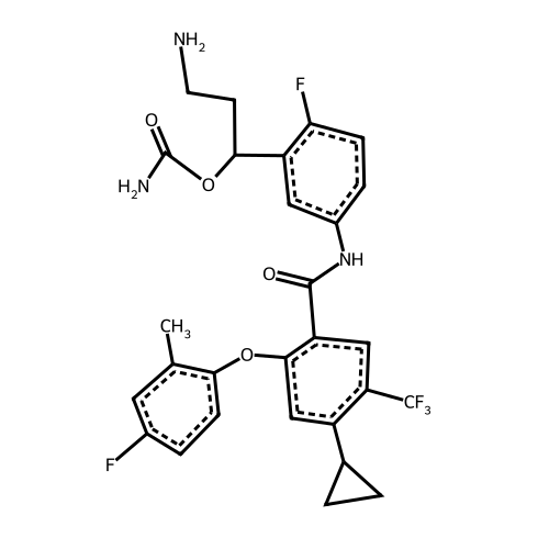 Cc1cc(F)ccc1Oc1cc(C2CC2)c(C(F)(F)F)cc1C(=O)Nc1ccc(F)c(C(CCN)OC(N)=O)c1